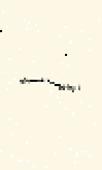 CCCC#CC#CCCCCCCCCCCCC